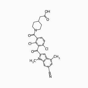 Cc1cc(C#N)cc2c1cc(C(=O)c1c(Cl)ccc(C(=O)N3CCC(CC(=O)O)CC3)c1Cl)n2C